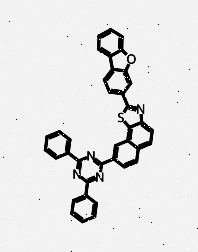 c1ccc(-c2nc(-c3ccccc3)nc(-c3ccc4ccc5nc(-c6ccc7c(c6)oc6ccccc67)sc5c4c3)n2)cc1